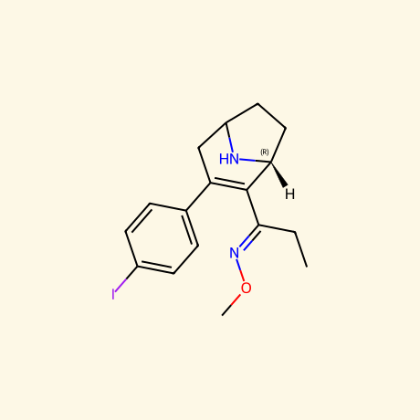 CCC(=NOC)C1=C(c2ccc(I)cc2)CC2CC[C@H]1N2